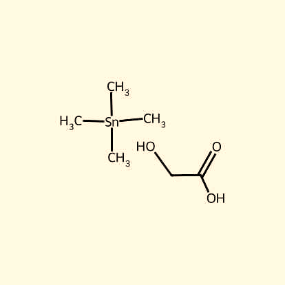 O=C(O)CO.[CH3][Sn]([CH3])([CH3])[CH3]